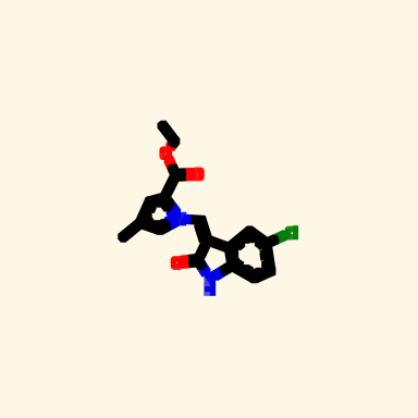 CCOC(=O)c1cc(C)cn1C=C1C(=O)Nc2ccc(Cl)cc21